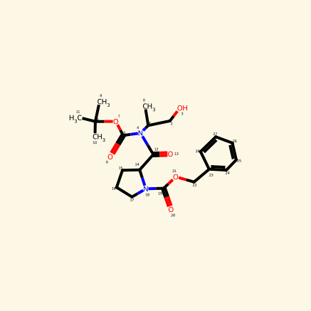 CC(CO)N(C(=O)OC(C)(C)C)C(=O)C1CCCN1C(=O)OCc1ccccc1